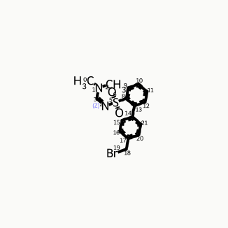 CN(C)/C=N\S(=O)(=O)c1ccccc1-c1ccc(CBr)cc1